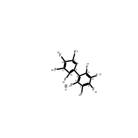 Fc1cc(-c2c(F)c(F)c(F)c(F)c2F)c(F)c(F)c1F.[B]